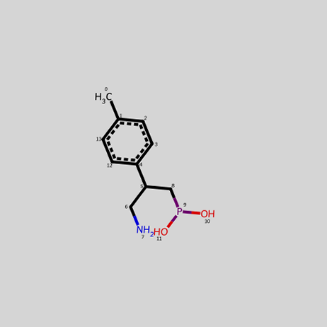 Cc1ccc(C(CN)CP(O)O)cc1